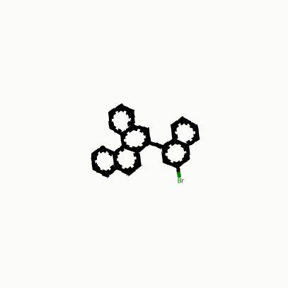 Brc1cc(-c2cc3ccccc3c3c2ccc2ccccc23)c2ccccc2c1